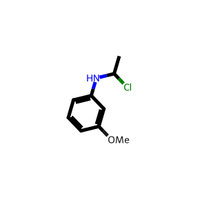 COc1cccc(NC(C)Cl)c1